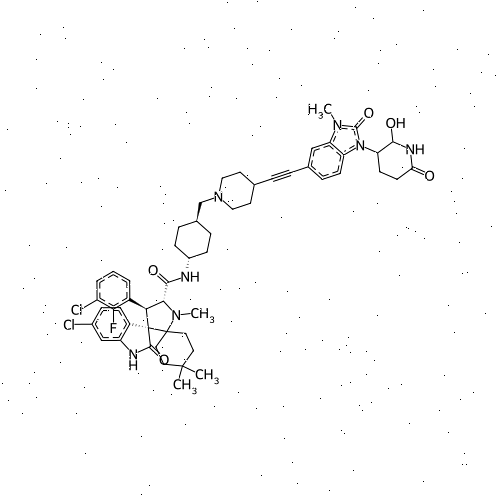 CN1[C@@H](C(=O)N[C@H]2CC[C@H](CN3CCC(C#Cc4ccc5c(c4)n(C)c(=O)n5C4CCC(=O)NC4O)CC3)CC2)[C@H](c2cccc(Cl)c2F)[C@]2(C(=O)Nc3cc(Cl)ccc32)C12CCC(C)(C)CC2